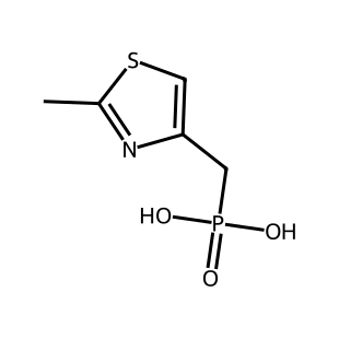 Cc1nc(CP(=O)(O)O)cs1